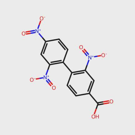 O=C(O)c1ccc(-c2ccc([N+](=O)[O-])cc2[N+](=O)[O-])c([N+](=O)[O-])c1